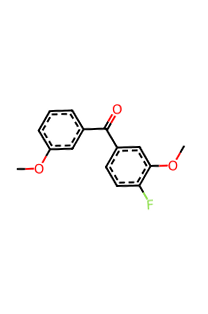 COc1cccc(C(=O)c2ccc(F)c(OC)c2)c1